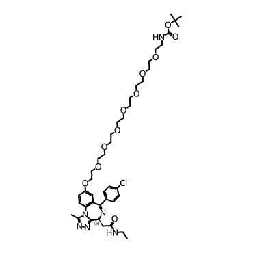 CCNC(=O)C[C@@H]1N=C(c2ccc(Cl)cc2)c2cc(OCCOCCOCCOCCOCCOCCOCCOCCNC(=O)OC(C)(C)C)ccc2-n2c(C)nnc21